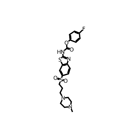 CN1CCN(CCCS(=O)(=O)c2ccc3nc(NC(=O)Oc4ccc(F)cc4)sc3c2)CC1